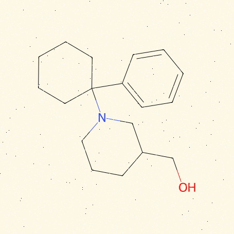 OCC1CCCN(C2(c3ccccc3)CCCCC2)C1